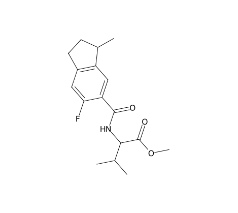 COC(=O)C(NC(=O)c1cc2c(cc1F)CCC2C)C(C)C